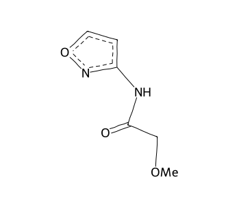 COCC(=O)Nc1ccon1